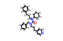 O=C(N(CCCc1ccncc1)Cc1ccccc1)N(CCCc1ccccc1)C1CCCCC1